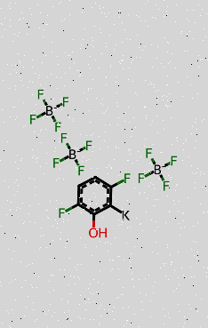 F[B-](F)(F)F.F[B-](F)(F)F.F[B-](F)(F)F.Oc1c(F)ccc(F)[c]1[K]